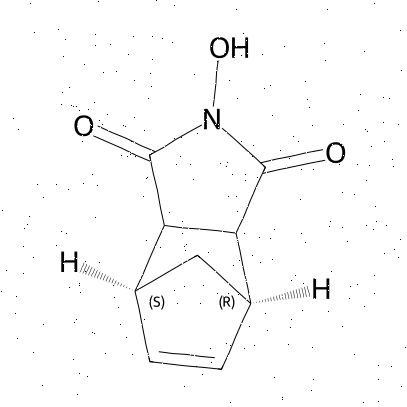 O=C1C2C(C(=O)N1O)[C@H]1C=C[C@@H]2C1